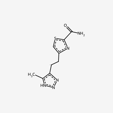 Cc1[nH]nnc1[CH]Cc1csc(C(N)=O)n1